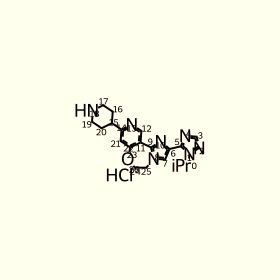 CC(C)n1ncnc1-c1cn2c(n1)-c1cnc(C3CCNCC3)cc1OCC2.Cl